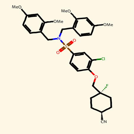 COc1ccc(CN(Cc2ccc(OC)cc2OC)S(=O)(=O)c2ccc(OC[C@]3(F)CC[C@H](C#N)CC3)c(Cl)c2)c(OC)c1